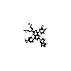 COCCN(CCOC)c1nc(N2CCN(C)C(=O)C2)c2nc(N3CCn4ccnc4C3)nc(N3CCC(OC)CC3)c2n1